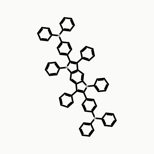 c1ccc(-c2c(-c3ccc(N(c4ccccc4)c4ccccc4)cc3)n(-c3ccccc3)c3cc4c(-c5ccccc5)c(-c5ccc(N(c6ccccc6)c6ccccc6)cc5)n(-c5ccccc5)c4cc23)cc1